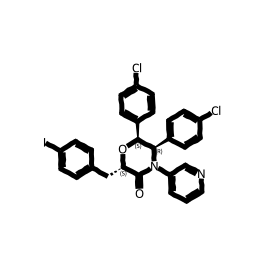 O=C1[C@H](Cc2ccc(I)cc2)O[C@@H](c2ccc(Cl)cc2)[C@@H](c2ccc(Cl)cc2)N1c1cccnc1